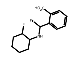 CCC(NC1CCCCC1F)c1ccccc1C(=O)O